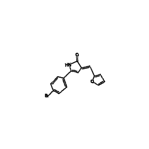 O=C1NC(c2ccc(Br)cc2)=CC1=Cc1ccco1